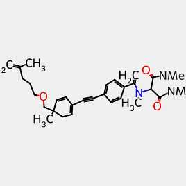 C=C(C)CCCOCC1(C)C=CC(C#Cc2ccc(C(=C)N(C)C(C(=O)NC)C(=O)NC)cc2)=CC1